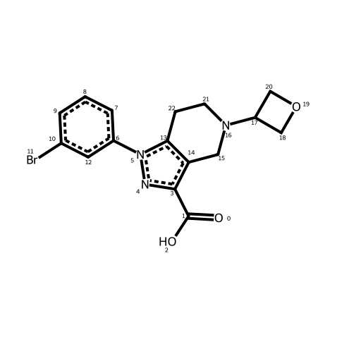 O=C(O)c1nn(-c2cccc(Br)c2)c2c1CN(C1COC1)CC2